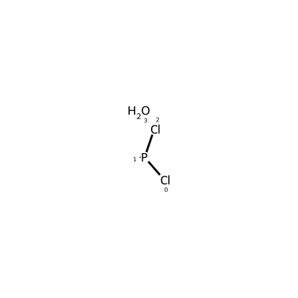 Cl[P]Cl.O